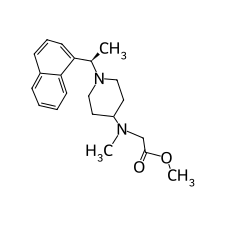 COC(=O)CN(C)C1CCN([C@H](C)c2cccc3ccccc23)CC1